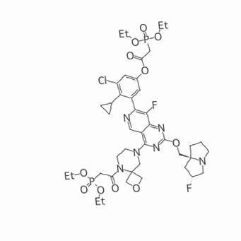 CCOP(=O)(CC(=O)Oc1cc(Cl)c(C2CC2)c(-c2ncc3c(N4CCN(C(=O)CP(=O)(OCC)OCC)C5(COC5)C4)nc(OC[C@@]45CCCN4C[C@H](F)C5)nc3c2F)c1)OCC